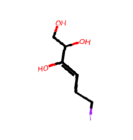 OCC(O)C(O)=CCCI